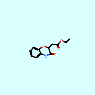 CCOC(=O)CC1Oc2cc[c]cc2NC1=O